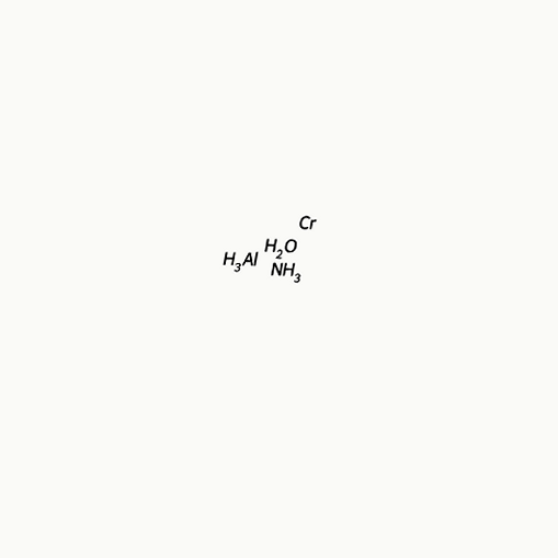 N.O.[AlH3].[Cr]